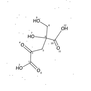 O=C(O)C(=O)CC(O)(CO)C(=O)O